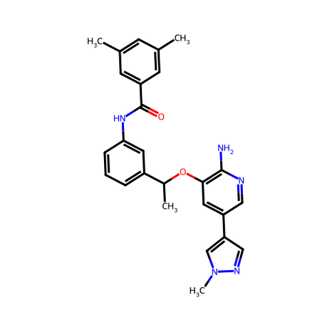 Cc1cc(C)cc(C(=O)Nc2cccc(C(C)Oc3cc(-c4cnn(C)c4)cnc3N)c2)c1